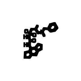 CC(CN(C)Cc1ccccc1)CS(=O)(=O)NC(=O)Nc1c2c(cc3c1CCC3)CCC2